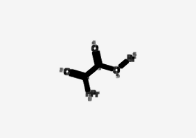 CCCC(=O)C(=O)OBr